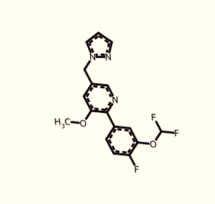 COc1cc(Cn2cccn2)cnc1-c1ccc(F)c(OC(F)F)c1